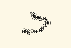 Cc1cc(-c2cc(Nc3ccc(N4CCN(CC5CN(c6ccc(C7CCC(=O)NC7=O)cc6)C5)CC4)cn3)ncn2)ccc1[C@@H](C)NC(=O)c1nc(C(C)(C)C)no1